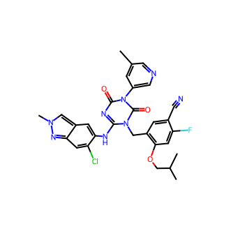 Cc1cncc(-n2c(=O)nc(Nc3cc4cn(C)nc4cc3Cl)n(Cc3cc(C#N)c(F)cc3OCC(C)C)c2=O)c1